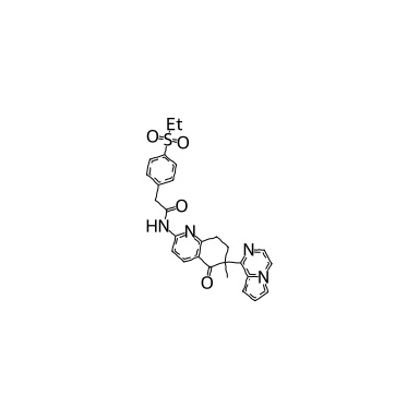 CCS(=O)(=O)c1ccc(CC(=O)Nc2ccc3c(n2)CCC(C)(c2nccn4cccc24)C3=O)cc1